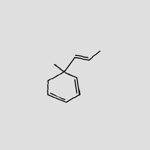 CC=CC1(C)C=CC=CC1